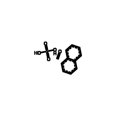 C=O.O=S(=O)(O)O.c1ccc2ccccc2c1